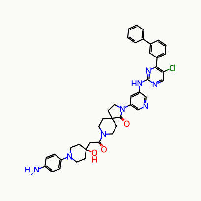 Nc1ccc(N2CCC(O)(CC(=O)N3CCC4(CC3)CCN(c3cncc(Nc5ncc(Cl)c(-c6cccc(-c7ccccc7)c6)n5)c3)C4=O)CC2)cc1